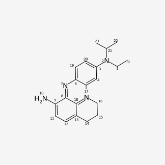 CCN(c1ccc(/N=C2/C(N)=CC=C3CCCN=C32)cc1)C(C)C